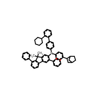 CC1(C)c2cc(N(c3ccc(-c4ccccc4C4CCCCC4)cc3)c3ccc(C4CC5CCC4C5)cc3)c(-c3ccccc3)cc2-c2cccc(-c3ccccc3)c21